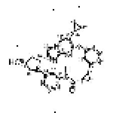 Cc1ccnc([C@H]2C[C@@H]2C(=O)Nc2cc(N3C[C@@H](O)C[C@@H]3c3cn4cc(C5CC5)cnc4n3)ncn2)c1